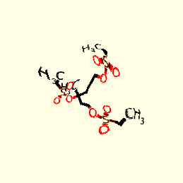 CCS(=O)(=O)OCCC(C)(CCOS(=O)(=O)CC)OS(=O)(=O)CC